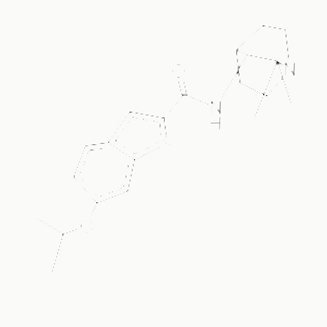 CC(C)Oc1ccc2cc(C(=O)NC3C4CCN(CC4)C3(C)C)sc2c1